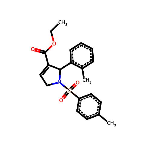 CCOC(=O)C1=CCN(S(=O)(=O)c2ccc(C)cc2)C1c1ccccc1C